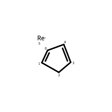 C1=CCC=C1.[Re]